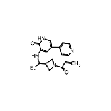 C=CC(=O)N1CC(C(CC)Nc2cc(-c3ccncc3)c[nH]c2=O)C1